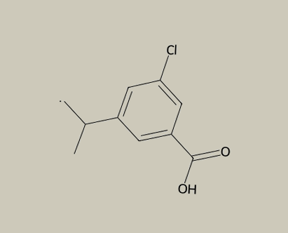 [CH2]C(C)c1cc(Cl)cc(C(=O)O)c1